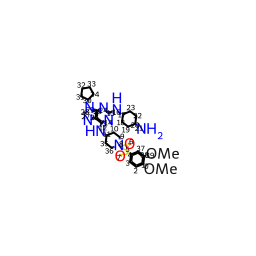 COc1ccc(S(=O)(=O)N2CCC(Nc3nc(N[C@H]4CC[C@H](N)CC4)nc4c3ncn4C3CCCC3)CC2)cc1OC